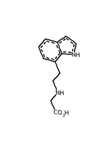 O=C(O)CNCCc1cccc2cc[nH]c12